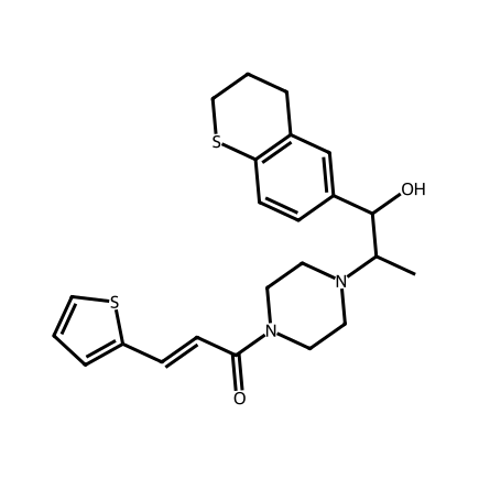 CC(C(O)c1ccc2c(c1)CCCS2)N1CCN(C(=O)C=Cc2cccs2)CC1